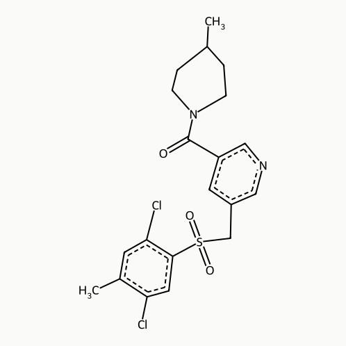 Cc1cc(Cl)c(S(=O)(=O)Cc2cncc(C(=O)N3CCC(C)CC3)c2)cc1Cl